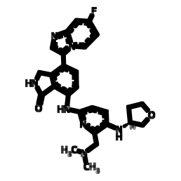 CN(C)Cc1nc(Nc2ccc(-c3cnc4cc(F)ccn34)c3c2C(=O)NC3)ccc1N[C@@H]1CCOC1